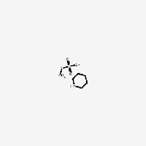 C1CCNCC1.COS(=O)(=O)O